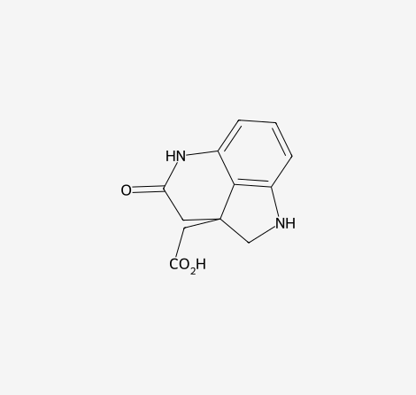 O=C(O)CC12CNc3cccc(c31)NC(=O)C2